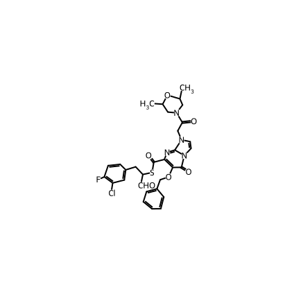 CC1CN(C(=O)Cn2ccn3c(=O)c(OCc4ccccc4)c(C(=O)SC(C=O)Cc4ccc(F)c(Cl)c4)nc23)CC(C)O1